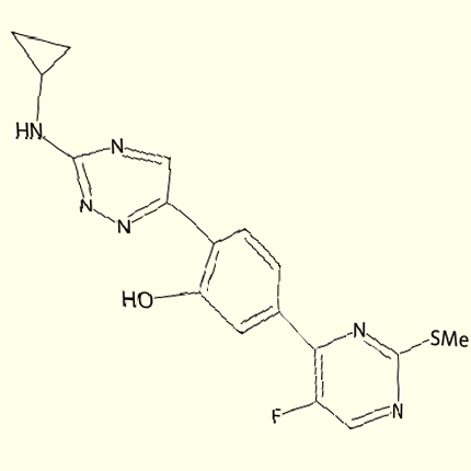 CSc1ncc(F)c(-c2ccc(-c3cnc(NC4CC4)nn3)c(O)c2)n1